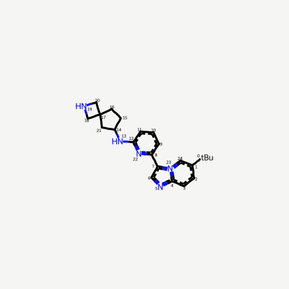 CC(C)(C)c1ccc2ncc(-c3cccc(NC4CCC5(CNC5)C4)n3)n2c1